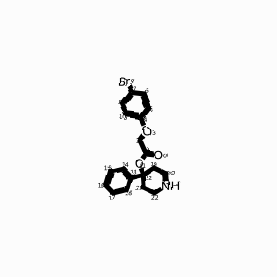 O=C(COc1ccc(Br)cc1)OC1(c2ccccc2)CCNCC1